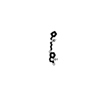 O=C1CCc2cc(OCCCC[S+]([O-])Cc3ccccc3)ccc2N1